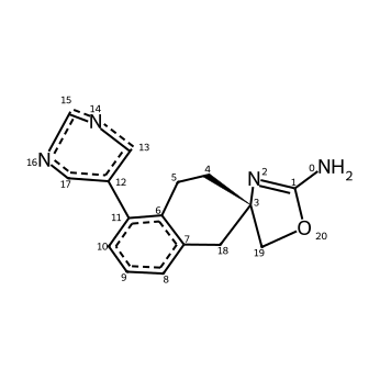 NC1=N[C@]2(CCc3c(cccc3-c3cncnc3)C2)CO1